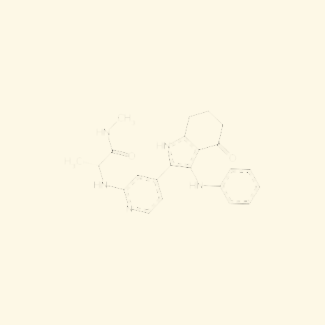 CNC(=O)[C@@H](C)Nc1cc(-c2[nH]c3c(c2Nc2ccccc2)C(=O)CCC3)ccn1